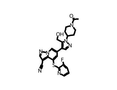 CC(=O)N1CCC(n2ncc(-c3cc(Sc4ncccc4F)c4c(C#N)cnn4c3)c2CO)CC1